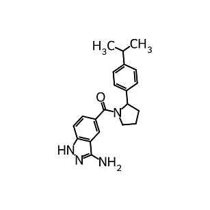 CC(C)c1ccc(C2CCCN2C(=O)c2ccc3[nH]nc(N)c3c2)cc1